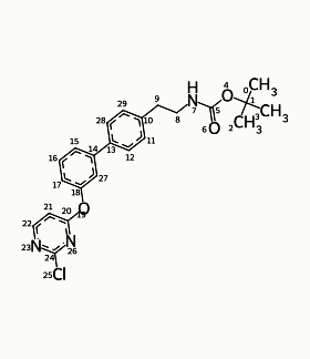 CC(C)(C)OC(=O)NCCc1ccc(-c2cccc(Oc3ccnc(Cl)n3)c2)cc1